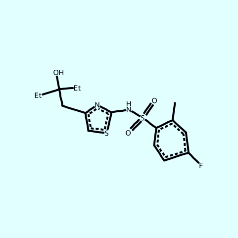 CCC(O)(CC)Cc1csc(NS(=O)(=O)c2ccc(F)cc2C)n1